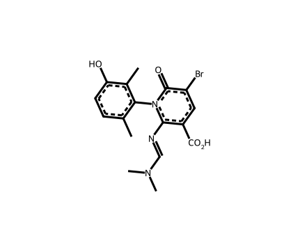 Cc1ccc(O)c(C)c1-n1c(N=CN(C)C)c(C(=O)O)cc(Br)c1=O